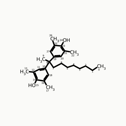 CCCCCCCCC(C)(c1cc(C)c(O)c(C)c1)c1cc(C)c(O)c(C)c1